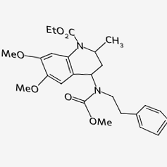 CCOC(=O)N1c2cc(OC)c(OC)cc2C(N(CCc2ccccc2)C(=O)OC)CC1C